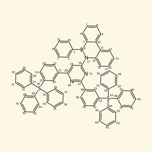 c1ccc(B2c3ccccc3-c3ccccc3N2c2cc(-c3cccc(S(c4ccccc4)(c4ccccc4)c4ccccc4)c3)nc(-c3cccc(S(c4ccccc4)(c4ccccc4)c4ccccc4)c3)n2)cc1